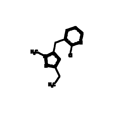 CCc1cc(Cc2cccnc2Cl)n(C)n1